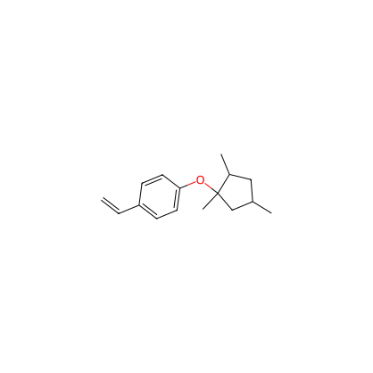 C=Cc1ccc(OC2(C)CC(C)CC2C)cc1